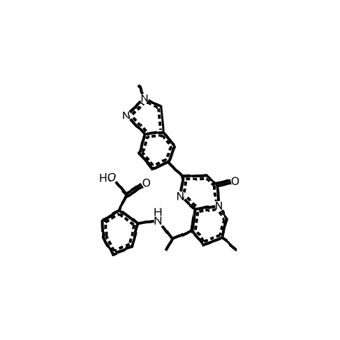 Cc1cc(C(C)Nc2ccccc2C(=O)O)c2nc(-c3ccc4nn(C)cc4c3)cc(=O)n2c1